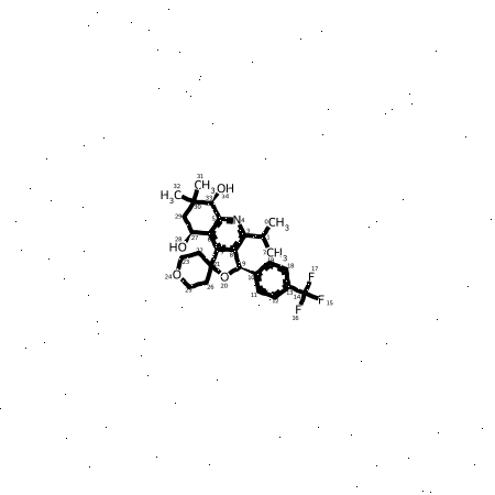 CC(C)c1nc2c(c3c1[C@@H](c1ccc(C(F)(F)F)cc1)OC31CCOCC1)[C@@H](O)CC(C)(C)[C@H]2O